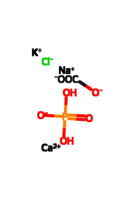 O=C([O-])[O-].O=P([O-])(O)O.[Ca+2].[Cl-].[K+].[Na+]